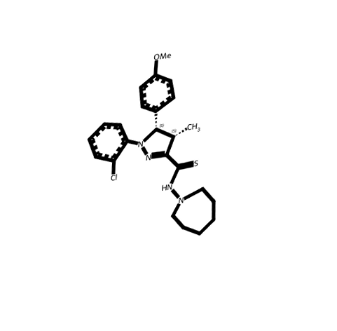 COc1ccc([C@@H]2[C@H](C)C(C(=S)NN3CCCCCC3)=NN2c2ccccc2Cl)cc1